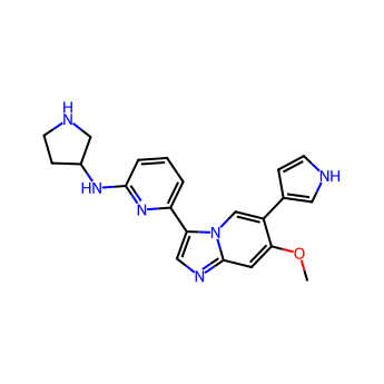 COc1cc2ncc(-c3cccc(NC4CCNC4)n3)n2cc1-c1cc[nH]c1